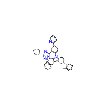 Cc1ccccc1-c1ccc2c(c1)c1ccccc1n2-c1ccc(-c2ccccn2)cc1-c1nc(-c2ccccc2)nc(-c2ccccc2)n1